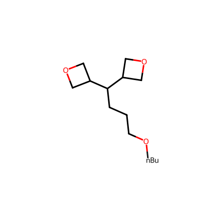 CCCCOCCCC(C1COC1)C1COC1